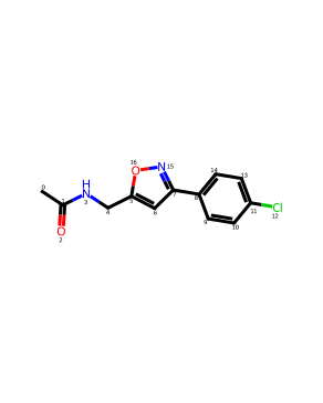 CC(=O)NCc1cc(-c2ccc(Cl)cc2)no1